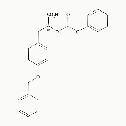 O=C(N[C@@H](Cc1ccc(OCc2ccccc2)cc1)C(=O)O)Oc1ccccc1